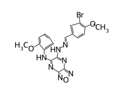 COc1ccc(/C=N/Nc2nc3nonc3nc2Nc2ccccc2OC)cc1Br